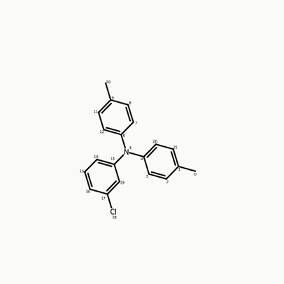 Cc1ccc(N(c2ccc(C)cc2)c2cccc(Cl)c2)cc1